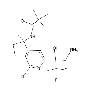 CC1(N[S+]([O-])C(C)(C)C)CCc2c1cc(C(O)(CN)C(F)(F)F)nc2Cl